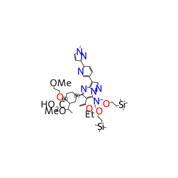 C=C(OCC)c1c([C@@H]2CC[C@](OCCOC)(C(=O)O)C(C(C)OC)C2)nc2c(-c3ccc(-c4ccn(C)n4)nc3)cnn2c1N(COCC[Si](C)(C)C)COCC[Si](C)(C)C